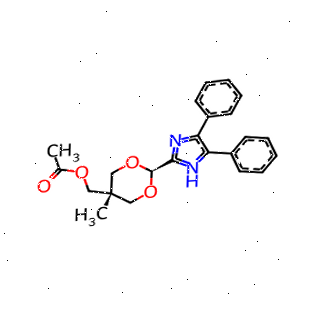 CC(=O)OC[C@]1(C)CO[C@@H](c2nc(-c3ccccc3)c(-c3ccccc3)[nH]2)OC1